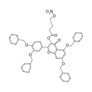 O=C(CCCO[N+](=O)[O-])Oc1c(-c2ccc(OCc3ccccc3)c(OCc3ccccc3)c2)oc2cc(OCc3ccccc3)cc(OCc3ccccc3)c2c1=O